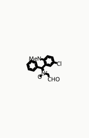 CNc1ccc(Cl)cc1/C(c1ccccc1)=[N+](/[O-])CC=O